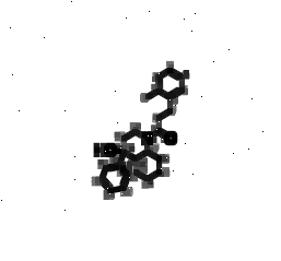 Cc1ccccc1CCC(=O)N1CC[C@@](O)(c2ccccc2)[C@@H]2CCCCC21